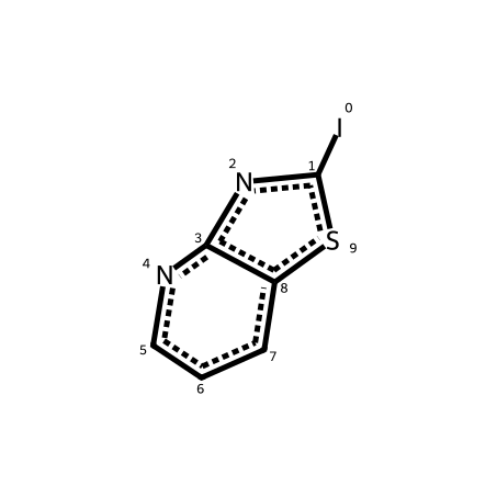 Ic1nc2ncccc2s1